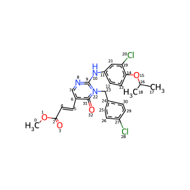 COC(=O)C=Cc1cnc(Nc2ccc(OC(C)C)c(Cl)c2)n(Cc2ccc(Cl)cc2)c1=O